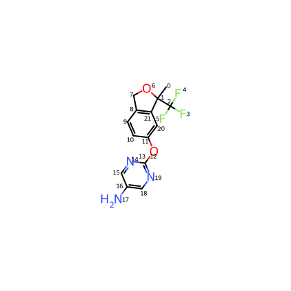 CC1(C(F)(F)F)OCc2ccc(Oc3ncc(N)cn3)cc21